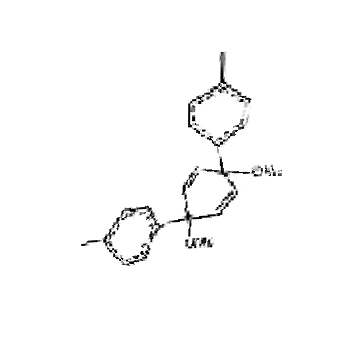 COC1(c2ccc(C)cc2)C=CC(OC)(c2ccc(C)cc2)C=C1